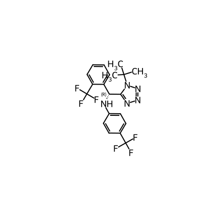 CC(C)(C)n1nnnc1[C@H](Nc1ccc(C(F)(F)F)cc1)c1ccccc1C(F)(F)F